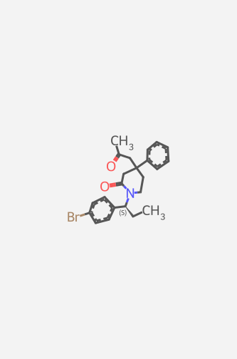 CC[C@@H](c1ccc(Br)cc1)N1CCC(CC(C)=O)(c2ccccc2)CC1=O